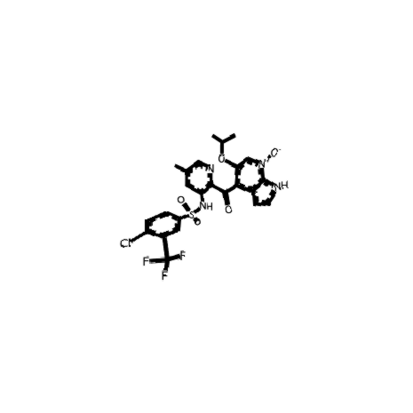 Cc1cnc(C(=O)c2c(OC(C)C)c[n+]([O-])c3[nH]ccc23)c(NS(=O)(=O)c2ccc(Cl)c(C(F)(F)F)c2)c1